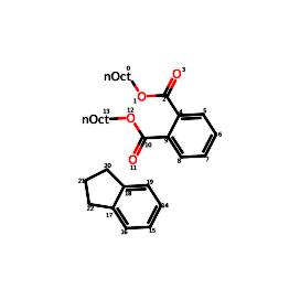 CCCCCCCCOC(=O)c1ccccc1C(=O)OCCCCCCCC.c1ccc2c(c1)CCC2